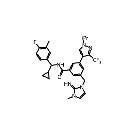 Cc1cc(C(NC(=O)c2cc(Cn3ccn(C)c3=N)cc(-c3cn(C(C)C)nc3C(F)(F)F)c2)C2CC2)ccc1F